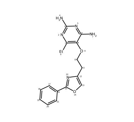 CCc1nc(N)nc(N)c1OCCc1coc(-c2ccccc2)n1